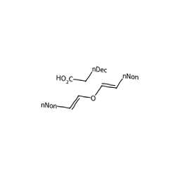 CCCCCCCCCC=COC=CCCCCCCCCC.CCCCCCCCCCCC(=O)O